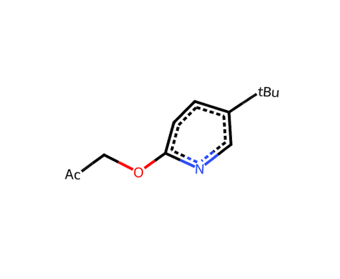 CC(=O)COc1ccc(C(C)(C)C)cn1